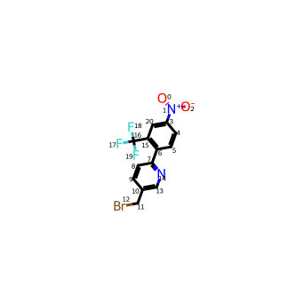 O=[N+]([O-])c1ccc(-c2ccc(CBr)cn2)c(C(F)(F)F)c1